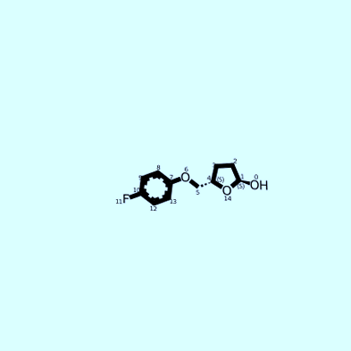 O[C@@H]1CC[C@@H](COc2ccc(F)cc2)O1